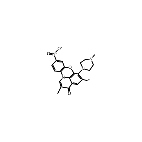 Cc1cn2c3c(c(N4CCN(C)CC4)c(F)cc3c1=O)Oc1cc([N+](=O)[O-])ccc1-2